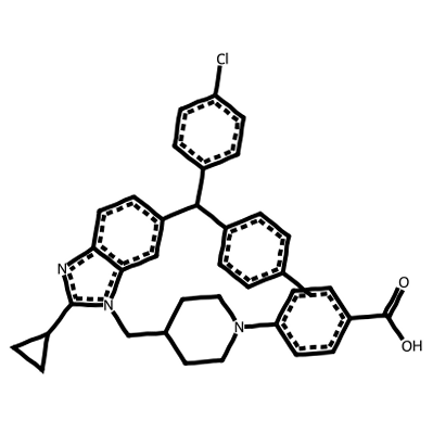 Cc1ccc(C(c2ccc(Cl)cc2)c2ccc3nc(C4CC4)n(CC4CCN(c5ccc(C(=O)O)cc5)CC4)c3c2)cc1